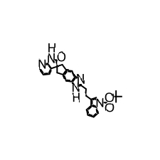 CC(C)(C)OC(=O)n1cc(CCc2nc3cc4c(cc3[nH]2)CC2(C4)C(=O)Nc3ncccc32)c2ccccc21